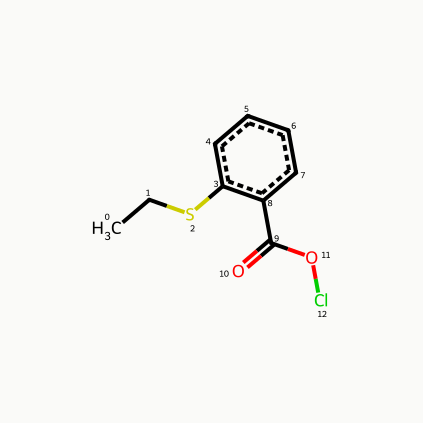 CCSc1ccccc1C(=O)OCl